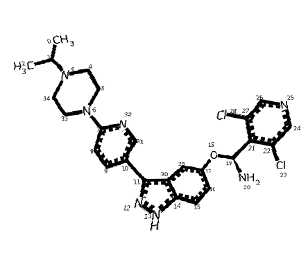 CC(C)N1CCN(c2ccc(-c3n[nH]c4ccc(O[C@H](N)c5c(Cl)cncc5Cl)cc34)cn2)CC1